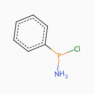 NP(Cl)c1ccccc1